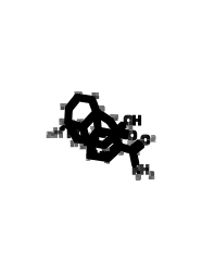 NC(=O)c1ccc2c(c1O)C13CCC[C@H](C2)[C@]1(O)CCC(=O)C3